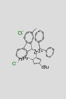 CCCC1C=C(C(C)(C)C)C=[C]1[Zr+2](=[C](c1ccccc1)c1ccccc1)[CH]1c2cc(C)ccc2-c2ccc(C)cc21.[Cl-].[Cl-]